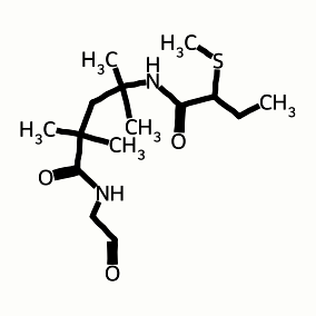 CCC(SC)C(=O)NC(C)(C)CC(C)(C)C(=O)NCC=O